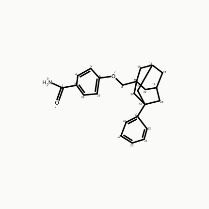 NC(=O)c1ccc(OCC23CC4CC(C2)CC(c2ccccc2)(C4)C3)cc1